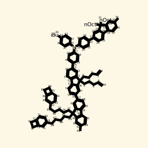 C=CCCCC1(CCCC=C)c2cc(-c3ccc(N(c4ccc(-c5ccc6c(c5)C(CCCCCCCC)(CCCCCCCC)c5cc(C)ccc5-6)cc4)c4ccc(C(C)CC)cc4)cc3)ccc2-c2ccc(-c3ccc4c(c3)C(CCCCCc3ccc5c(c3)CC5)(CCCCCc3ccc5c(c3)CC5)c3cc(C)ccc3-4)cc21